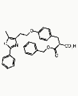 Cc1oc(-c2ccccc2)nc1CCOc1ccc(CC(C(=O)O)C(=O)OCc2ccccc2)cc1